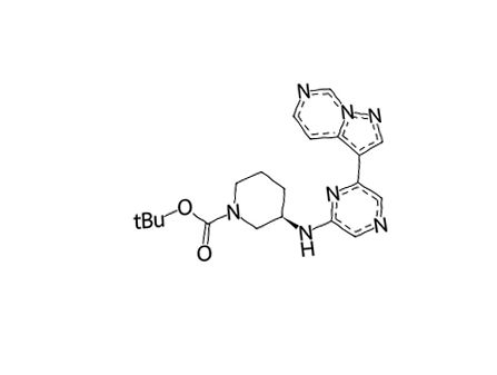 CC(C)(C)OC(=O)N1CCC[C@@H](Nc2cncc(-c3cnn4cnccc34)n2)C1